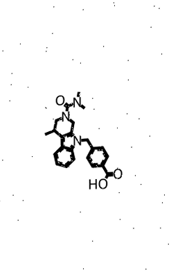 CC1CN(C(=O)N(C)C)Cc2c1c1ccccc1n2Cc1ccc(C(=O)O)cc1